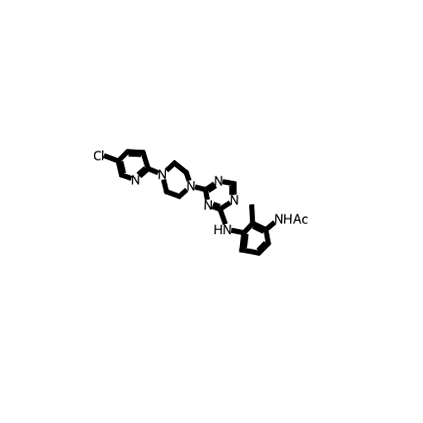 CC(=O)Nc1cccc(Nc2ncnc(N3CCN(c4ccc(Cl)cn4)CC3)n2)c1C